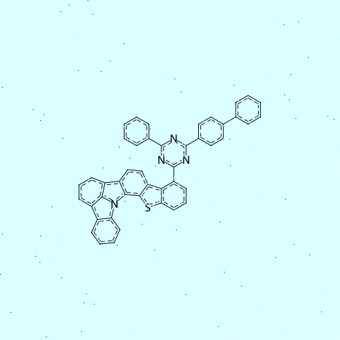 c1ccc(-c2ccc(-c3nc(-c4ccccc4)nc(-c4cccc5sc6c(ccc7c8cccc9c%10ccccc%10n(c98)c76)c45)n3)cc2)cc1